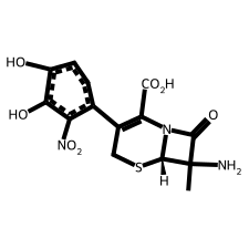 CC1(N)C(=O)N2C(C(=O)O)=C(c3ccc(O)c(O)c3[N+](=O)[O-])CS[C@H]21